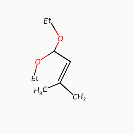 CCOC(C=C(C)C)OCC